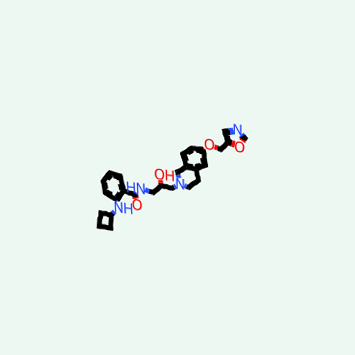 O=C(NCC(O)CN1CCc2cc(OCc3cnco3)ccc2C1)c1ccccc1NC1CCC1